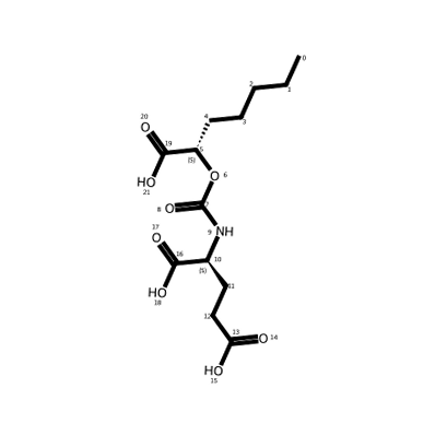 CCCCC[C@H](OC(=O)N[C@@H](CCC(=O)O)C(=O)O)C(=O)O